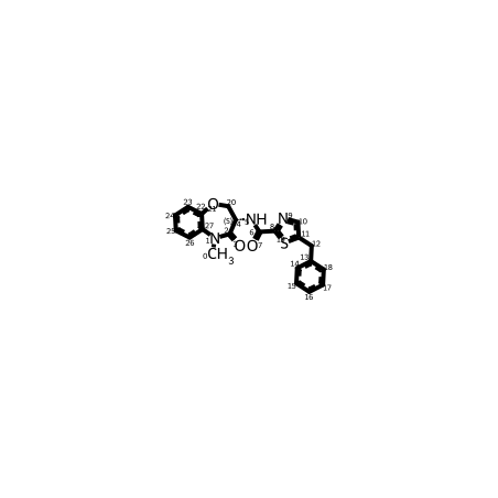 CN1C(=O)[C@@H](NC(=O)c2ncc(Cc3ccccc3)s2)COc2ccccc21